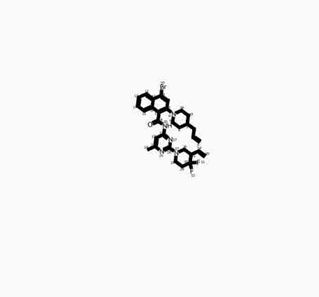 C=CCC1CCN(c2cc(Br)c3ccccc3c2C(=O)Nc2cc(C)nc(N3CCC(F)(F)C(C=C)C3)n2)CC1